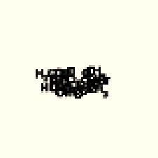 COc1cc([C@@H]2c3cc4c(cc3[C@@H](O[C@@H]3O[C@@H]5CO[C@@H](C)O[C@H]5[C@H](O)[C@H]3O)[C@H]3COC(=O)[C@H]23)OCO4)cc(OC)c1OC(=O)CBr